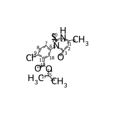 Cc1cc(=O)n(-c2ccc(Cl)c(C(=O)OC(C)C)c2)c(=S)[nH]1